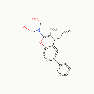 CCOC(=O)CC1C(C(=O)OCC)=C(N(CO)CO)Oc2ccc(-c3ccccc3)cc21